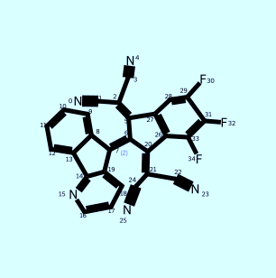 N#CC(C#N)=C1/C(=C2\c3ccccc3-c3ncccc32)C(=C(C#N)C#N)c2c1cc(F)c(F)c2F